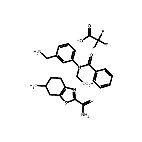 CC1CCc2nc(C(N)=O)sc2C1.NCc1cccc(N(CC(=O)O)C(=O)c2ccccc2)c1.O=C(O)C(F)(F)F